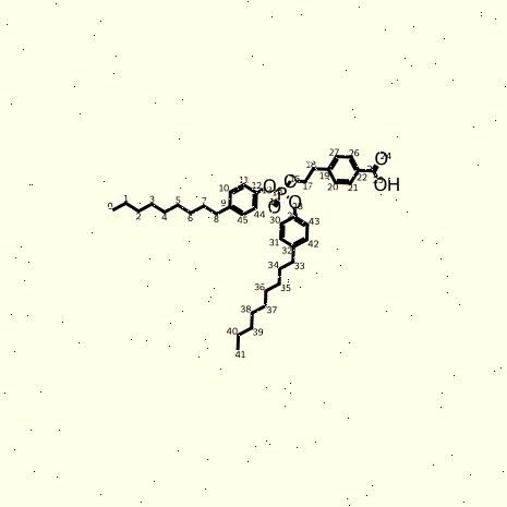 CCCCCCCCCc1ccc(OP(=O)(OCCc2ccc(C(=O)O)cc2)Oc2ccc(CCCCCCCCC)cc2)cc1